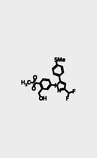 CSc1ccc(-c2cc(C(F)F)nn2-c2ccc(S(C)(=O)=O)c(CO)c2)cc1